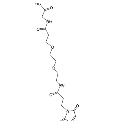 O=C(O)CNC(=O)CCOCCOCCNC(=O)CCN1C(=O)C=CC1=O